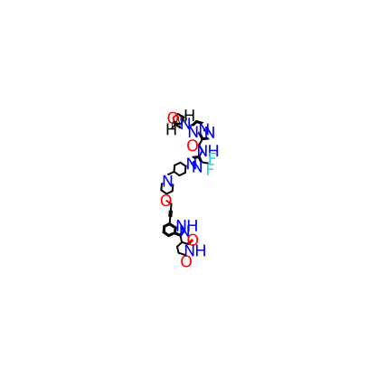 O=C1CCC(c2n[nH]c3c(C#CCOC4CCN(CC5CCC(n6cc(NC(=O)c7cnn8ccc(N9C[C@H]%10C[C@@H]9CO%10)nc78)c(C(F)F)n6)CC5)CC4)cccc23)C(=O)N1